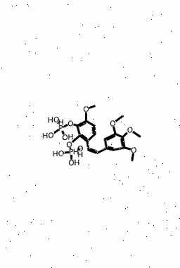 COc1cc(/C=C\c2ccc(OC)c(O[PH](O)(O)O)c2O[PH](O)(O)O)cc(OC)c1OC